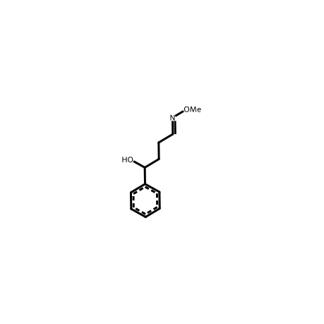 CO/N=C/CCC(O)c1ccccc1